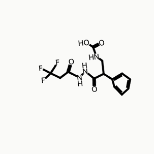 O=C(O)NCC(C(=O)NNC(=O)CC(F)(F)F)c1ccccc1